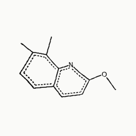 COc1ccc2ccc(C)c(C)c2n1